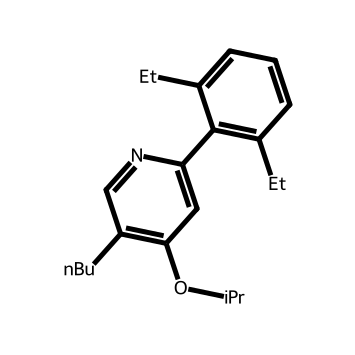 CCCCc1cnc(-c2c(CC)cccc2CC)cc1OC(C)C